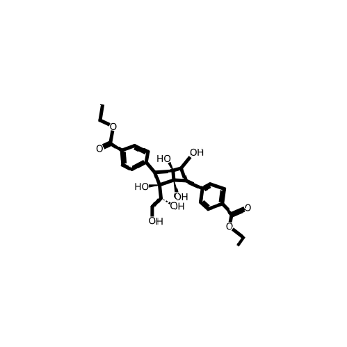 CCOC(=O)c1ccc(C2C(O)[C@@]3(O)C(c4ccc(C(=O)OCC)cc4)[C@@](O)([C@H](O)CO)[C@@]23O)cc1